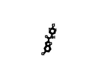 O=C(Nc1cnc(Cl)nc1)c1cc2cc(Cl)ccc2o1